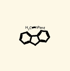 CCCCCC.c1ccc2c(c1)Cc1ccccc1-2